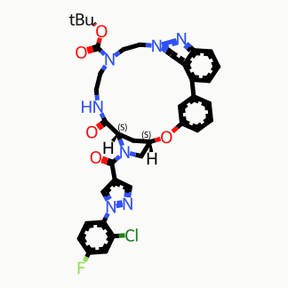 CC(C)(C)OC(=O)N1CCNC(=O)[C@@H]2C[C@@H](CN2C(=O)c2cnn(-c3ccc(F)cc3Cl)c2)Oc2cccc(c2)-c2cccc3nn(cc23)CC1